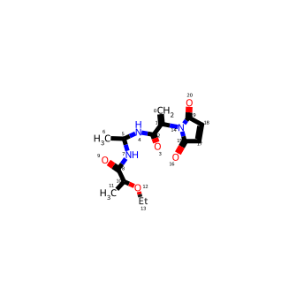 C=C(C(=O)NC(C)NC(=O)C(C)OCC)N1C(=O)C=CC1=O